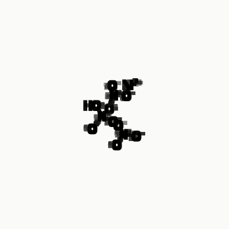 O=[N+]([O-])O.O=[N+]([O-])[O-].O=[N+]([O-])[O-].[Ni+2]